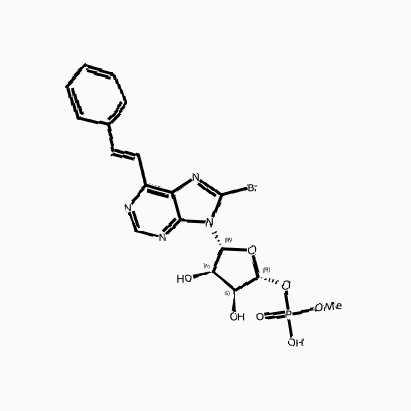 COP(=O)(O)O[C@H]1O[C@@H](n2c(Br)nc3c(C=Cc4ccccc4)ncnc32)[C@H](O)[C@@H]1O